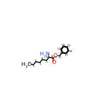 CCCCCCC(N)C(=O)OCc1ccccc1